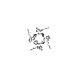 CCCCCC[n+]1cscc1C1=C2C=CC(=N2)C(c2csc[n+]2CCCCCC)=C2C=CC(=N2)C(c2csc[n+]2CCCCCC)=C2C=CC(=N2)C(c2csc[n+]2CCCCCC)=C2C=CC1=N2